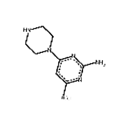 CCCCc1cc(N2CCNCC2)nc(N)n1